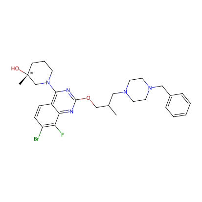 CC(COc1nc(N2CCC[C@@](C)(O)C2)c2ccc(Br)c(F)c2n1)CN1CCN(Cc2ccccc2)CC1